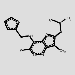 Cc1c(C[C@H](C)N)sc2c(NCc3cccs3)c(F)nnc12